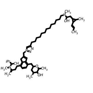 C=C(CCc1ccc(CC2CC(C)C(O)C(C)O2)c2c1CC(Cn1cc(CCCCCCCCCCCCCN(C)C(O)CC3C(C)C3C=CC)nn1)=C2)N(C)C(C)C(C)C